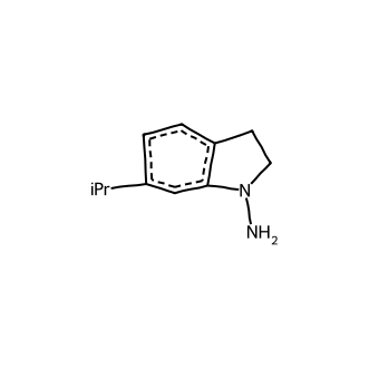 CC(C)c1ccc2c(c1)N(N)CC2